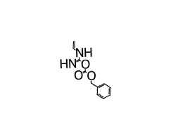 C=CNC(=N)OC(=O)OCc1ccccc1